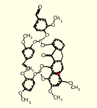 COc1ccc(OP(Oc2ccc(OC)cc2OC)Oc2cccc3c2C(=O)c2c(cccc2OP(Oc2ccc(C=O)cc2OC)Oc2ccc(C=O)cc2OC)C3)c(OC)c1